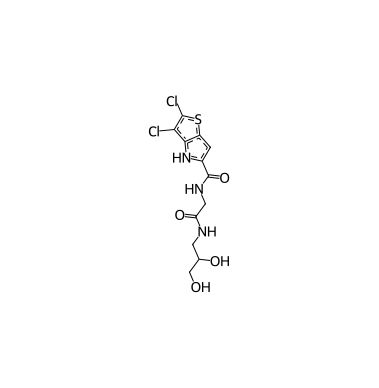 O=C(CNC(=O)c1cc2sc(Cl)c(Cl)c2[nH]1)NCC(O)CO